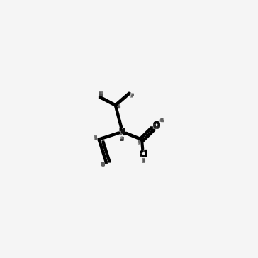 C=CN(C(=O)Cl)C(C)C